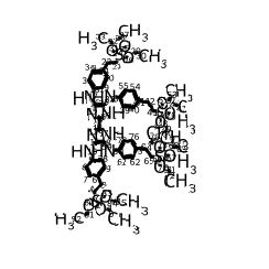 CCO[Si](CCc1ccc(Nc2nc(-c3nc(Nc4ccc(CC[Si](OCC)(OCC)OCC)cc4)c(Nc4ccc(CC[Si](OCC)(OCC)OCC)cc4)[nH]3)[nH]c2Nc2ccc(CC[Si](OCC)(OCC)OCC)cc2)cc1)(OCC)OCC